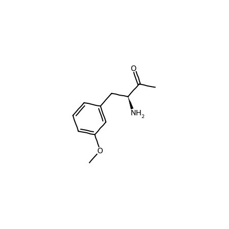 COc1cccc(C[C@H](N)C(C)=O)c1